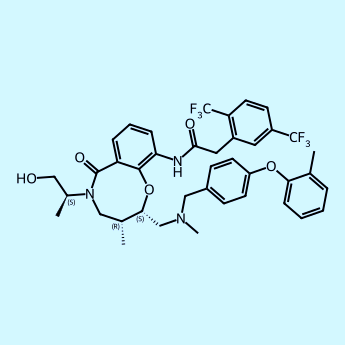 Cc1ccccc1Oc1ccc(CN(C)C[C@H]2Oc3c(NC(=O)Cc4cc(C(F)(F)F)ccc4C(F)(F)F)cccc3C(=O)N([C@@H](C)CO)C[C@H]2C)cc1